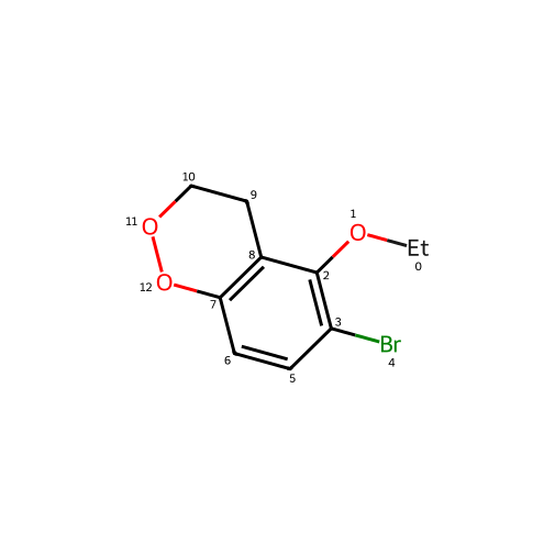 CCOc1c(Br)ccc2c1CCOO2